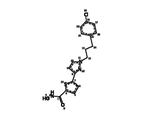 O=C(NO)c1ccc(-c2ccn(CCCc3ccc(Cl)cc3)n2)s1